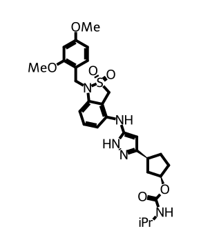 COc1ccc(CN2c3cccc(Nc4cc([C@H]5CC[C@@H](OC(=O)NC(C)C)C5)n[nH]4)c3CS2(=O)=O)c(OC)c1